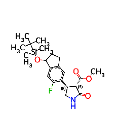 COC(=O)[C@@H]1C(=O)NC[C@H]1c1cc2c(cc1F)C(O[Si](C)(C)C(C)(C)C)CC2